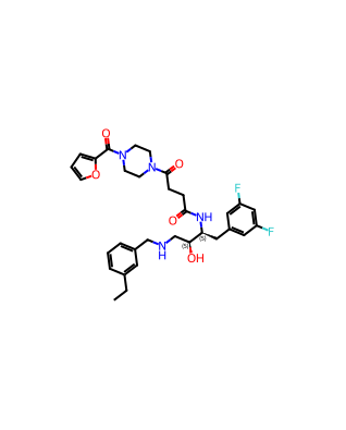 CCc1cccc(CNC[C@H](O)[C@H](Cc2cc(F)cc(F)c2)NC(=O)CCC(=O)N2CCN(C(=O)c3ccco3)CC2)c1